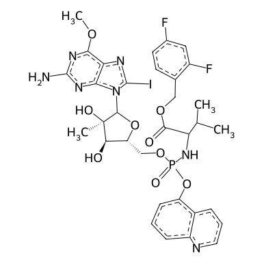 COc1nc(N)nc2c1nc(I)n2C1O[C@H](COP(=O)(NC(C(=O)OCc2ccc(F)cc2F)C(C)C)Oc2cccc3ncccc23)[C@@H](O)[C@@]1(C)O